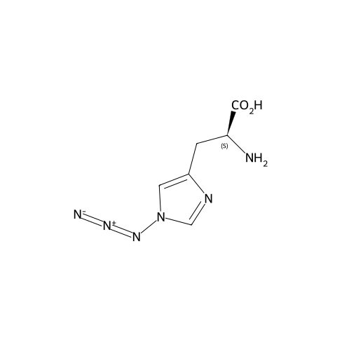 [N-]=[N+]=Nn1cnc(C[C@H](N)C(=O)O)c1